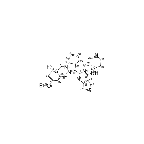 CCOc1cc(F)c(Cn2nc(-c3nc4c(c(Nc5ccncc5C)n3)CSC4)c3ccccc32)c(F)c1